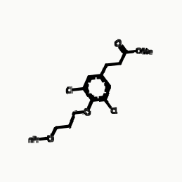 CCCOCCCOc1c(Cl)cc(CCC(=O)OC)cc1Cl